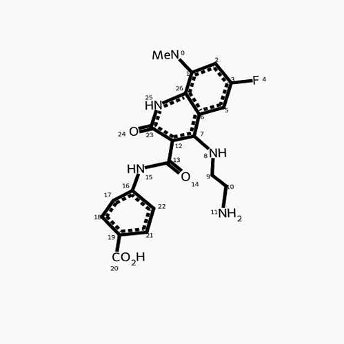 CNc1cc(F)cc2c(NCCN)c(C(=O)Nc3ccc(C(=O)O)cc3)c(=O)[nH]c12